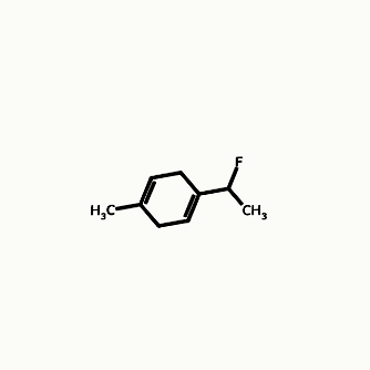 CC1=CCC(C(C)F)=CC1